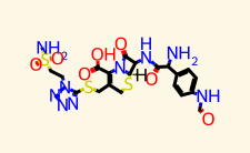 NC(C(=O)NC1C(=O)N2C(C(=O)O)=C(CSc3nnnn3CCS(N)(=O)=O)CS[C@H]12)c1ccc(NC=O)cc1